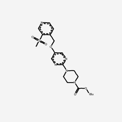 CC(C)(C)OC(=O)N1CCN(c2ncc(OCc3ccncc3S(C)(=O)=O)cn2)CC1